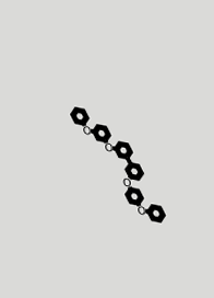 c1ccc(Oc2ccc(Oc3cccc(-c4cccc(Oc5cccc(Oc6ccccc6)c5)c4)c3)cc2)cc1